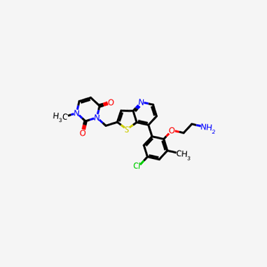 Cc1cc(Cl)cc(-c2ccnc3cc(Cn4c(=O)ccn(C)c4=O)sc23)c1OCCN